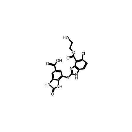 O=C(O)c1cc(Sc2nc3c(C(=O)OCCO)c(Cl)ccc3[nH]2)c2[nH]c(=O)[nH]c2c1